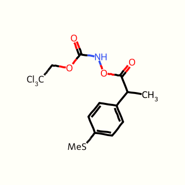 CSc1ccc(C(C)C(=O)ONC(=O)OCC(Cl)(Cl)Cl)cc1